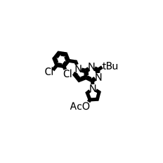 CC(=O)OC1CCN(c2nc(C(C)(C)C)nc3c2ccn3Cc2cccc(Cl)c2Cl)C1